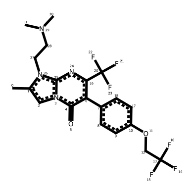 Cc1cn2c(=O)c(-c3ccc(OCC(F)(F)F)cc3)c(C(F)(F)F)nc2n1CCN(C)C